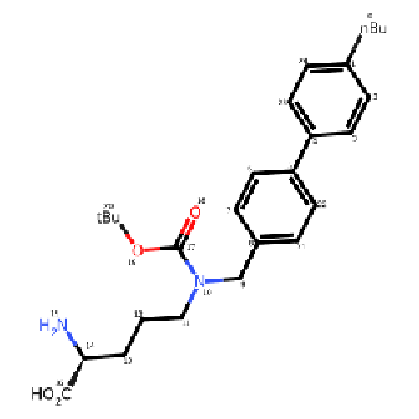 CCCCc1ccc(-c2ccc(CN(CCC[C@H](N)C(=O)O)C(=O)OC(C)(C)C)cc2)cc1